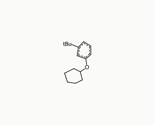 CC(C)(C)c1cccc(OC2CCCCC2)c1